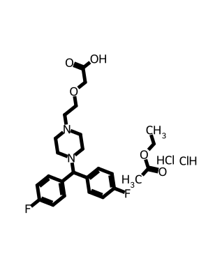 CCOC(C)=O.Cl.Cl.O=C(O)COCCN1CCN(C(c2ccc(F)cc2)c2ccc(F)cc2)CC1